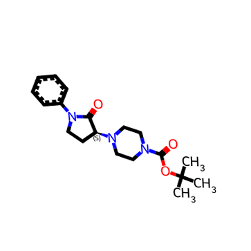 CC(C)(C)OC(=O)N1CCN([C@H]2CCN(c3ccccc3)C2=O)CC1